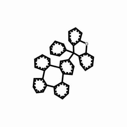 c1ccc(C2(c3ccc4c(c3)-c3ccccc3-c3ccccc3-c3ccccc3-4)c3ccccc3Oc3ccccc32)cc1